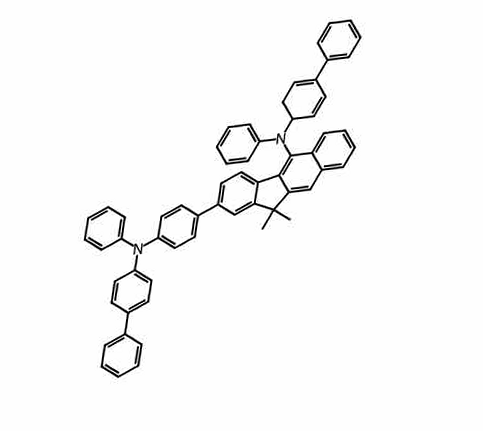 CC1(C)c2cc(-c3ccc(N(c4ccccc4)c4ccc(-c5ccccc5)cc4)cc3)ccc2-c2c1cc1ccccc1c2N(c1ccccc1)C1C=CC(c2ccccc2)=CC1